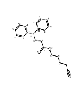 C#CCCCCOC(=O)CCP(c1ccccc1)c1ccccc1